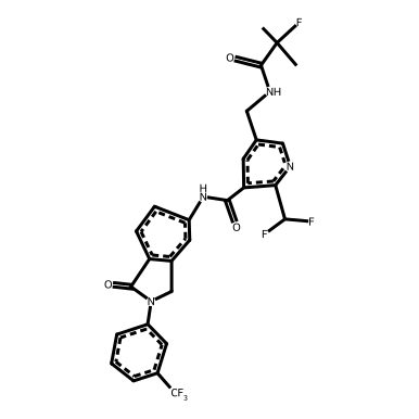 CC(C)(F)C(=O)NCc1cnc(C(F)F)c(C(=O)Nc2ccc3c(c2)CN(c2cccc(C(F)(F)F)c2)C3=O)c1